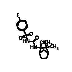 CC1(C)C2CCC(C2)C1(C)NC(=O)NS(=O)(=O)c1ccc(F)cc1